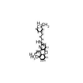 C=C/C=C(\C=C/C)CCCNc1ncc(Cl)c(N(C=C)C2=C(C)C=C=C=C2)n1